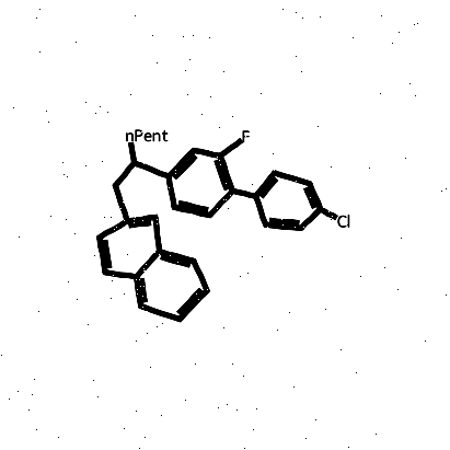 CCCCCC(Cc1ccc2ccccc2c1)c1ccc(-c2ccc(Cl)cc2)c(F)c1